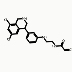 C=CC(=O)NCCNc1cccc(C2CNCc3c(Cl)cc(Cl)cc32)c1